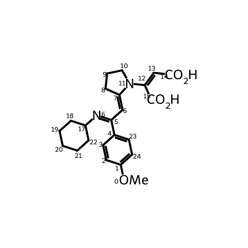 COc1ccc(C(C=C2CCCN2/C(=C/C(=O)O)C(=O)O)=NC2CCCCC2)cc1